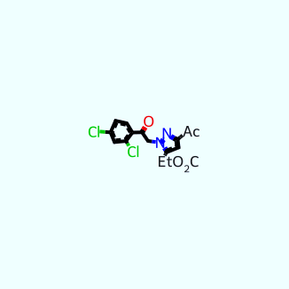 CCOC(=O)c1cc(C(C)=O)nn1CC(=O)c1ccc(Cl)cc1Cl